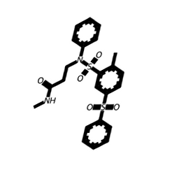 CNC(=O)CCN(c1ccccc1)S(=O)(=O)c1cc(S(=O)(=O)c2ccccc2)ccc1C